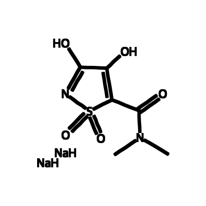 CN(C)C(=O)C1=C(O)C(O)=NS1(=O)=O.[NaH].[NaH]